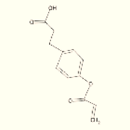 C=CC(=O)Oc1ccc(CCC(=O)O)cc1